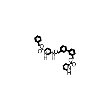 O=C(OCc1cccc(-c2cccc(CON[C@@H]3CC[C@@H](C(=O)OCc4ccccc4)NC3)c2)c1)[C@@H]1CCCCN1